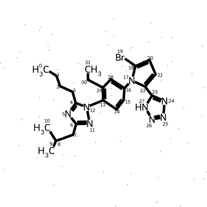 CCCCc1nc(CC(C)C)nn1-c1ccc(-n2c(Br)ccc2-c2nnn[nH]2)cc1CC